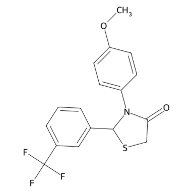 COc1ccc(N2C(=O)CSC2c2cccc(C(F)(F)F)c2)cc1